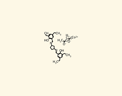 CC(=O)[O-].CC(=O)[O-].CCc1cc(C=NC2CCC(N=Cc3cc(CC)cc(CC)c3O)C2)c(O)c(CC)c1.[Co+2]